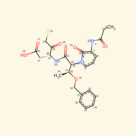 CCC(=O)Nc1cccn([C@H](C(=O)N[C@H](CC(=O)O)C(=O)CF)[C@H](C)OCc2ccccc2)c1=O